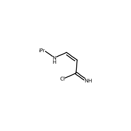 CC(C)N/C=C\C(=N)Cl